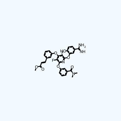 COC(=O)/C=C/c1cccc(Oc2c(F)c(Oc3cccc(C(=O)N(C)C)c3)nc(Oc3cc(C(=N)N)ccc3O)c2F)c1